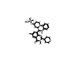 Cc1cc([C@@H](C)Nc2ccccc2N2CCC(O[Si](C)(C)C(C)(C)C)CC2)c2nc(C3CCOCC3)n(C)c(=O)c2c1